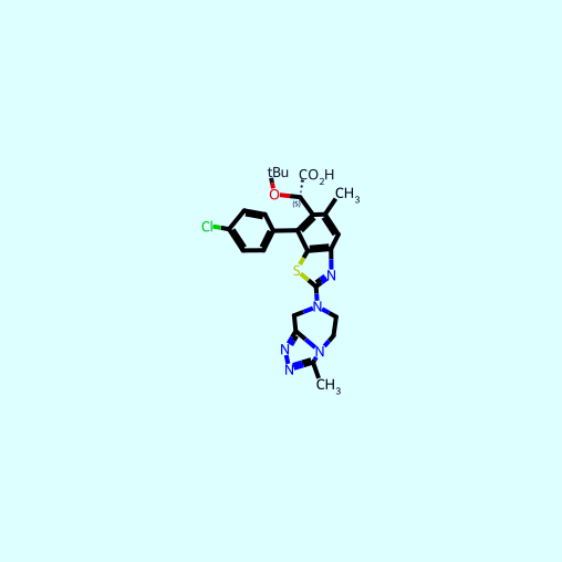 Cc1cc2nc(N3CCn4c(C)nnc4C3)sc2c(-c2ccc(Cl)cc2)c1[C@H](OC(C)(C)C)C(=O)O